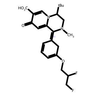 CN1CC(C(C)(C)C)n2cc(C(=O)O)c(=O)cc2/C1=C1\C=CC=C(OCC(F)CF)C1